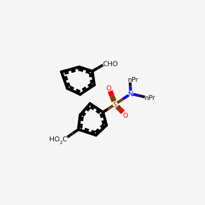 CCCN(CCC)S(=O)(=O)c1ccc(C(=O)O)cc1.O=Cc1ccccc1